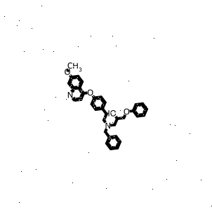 COc1ccc2c(Oc3ccc(CCN(Cc4ccccc4)CC(O)COc4ccccc4)cc3)ccnc2c1